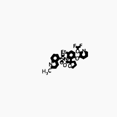 CCc1ccc(Oc2cccnc2OC(F)F)c(C2(C(=O)NS(=O)(=O)c3cccc4nc(C)ccc34)CCCO2)c1